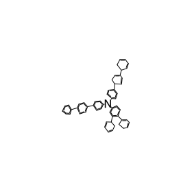 C1=CCCC(c2ccc(N(c3ccc(-c4ccc(-c5ccccc5)cc4)cc3)c3ccc(C4C=CC(C5C=CC=CC5)=CC4)cc3)cc2C2C=CC=CC2)=C1